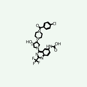 O=C(O)Nc1ccc2nc(C(F)(F)F)nc(N3C[C@H](O)[C@@H](N4CCN(C(=O)c5ccc(Cl)cc5)CC4)C3)c2c1